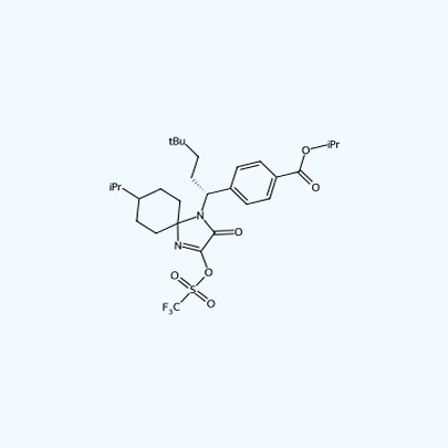 CC(C)OC(=O)c1ccc([C@@H](CCC(C)(C)C)N2C(=O)C(OS(=O)(=O)C(F)(F)F)=NC23CCC(C(C)C)CC3)cc1